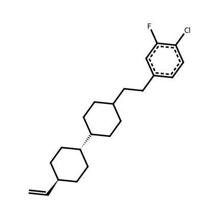 C=C[C@H]1CC[C@H](C2CCC(CCc3ccc(Cl)c(F)c3)CC2)CC1